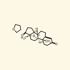 C1CCOC1.C[C@]12CCC(=O)C=C1CC[C@@H]1[C@@H]2CC[C@]2(C)C(=O)CC[C@@H]12